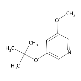 COc1cncc(OC(C)(C)C)c1